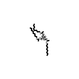 CCCCCCCCSC(C)OOP(=O)(OOC(C)SCCCCCCCC)OOC(C)SCCCCCCCC